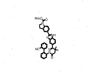 COC(=O)N1CCc2cc(-c3nc4cc(C5=NN(c6ccccc6-c6ccccc6C#N)C(=O)CC5(C)C)ccc4[nH]3)ccc21